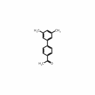 CC(=O)c1ccc(-c2cc(C)cc(C)c2)cc1